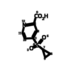 O=C(O)c1cc(S(=O)(=O)C2CC2)ccn1